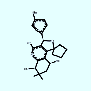 CC(C)c1nc2c(c3c1[C@@H](c1ccc(C(C)(C)C)cc1)OC31CCCC1)[C@@H](O)CC(C)(C)[C@H]2O